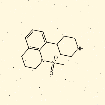 CS(=O)(=O)N1CCCc2cccc(C3CCNCC3)c21